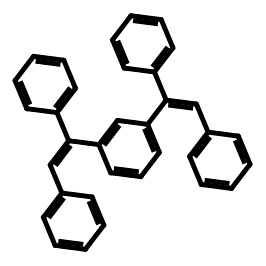 C(=C(\c1ccccc1)c1cccc(/C(=C\c2ccccc2)c2ccccc2)c1)/c1ccccc1